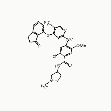 COc1cc(C(=O)NC2CCN(C)C2)c(Cl)cc1Nc1ncc(C(F)(F)F)c(Oc2cccc3c2C(=O)CC3)n1